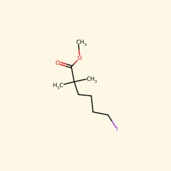 COC(=O)C(C)(C)CCCCI